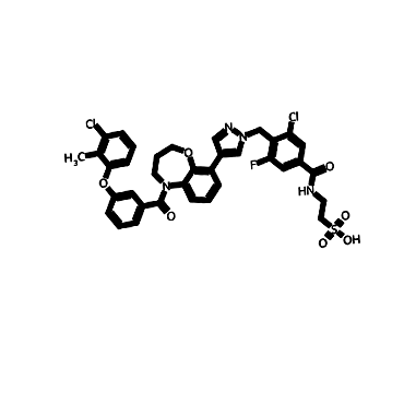 Cc1c(Cl)cccc1Oc1cccc(C(=O)N2CCCOc3c(-c4cnn(Cc5c(F)cc(C(=O)NCCS(=O)(=O)O)cc5Cl)c4)cccc32)c1